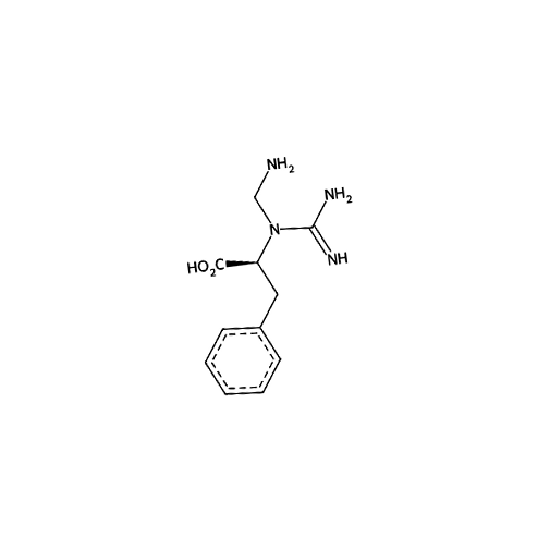 N=C(N)N(CN)[C@@H](Cc1ccccc1)C(=O)O